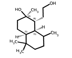 CC1CCC(C)(C)[C@H]2CC[C@@](C)(O)[C@H](CCO)[C@@H]12